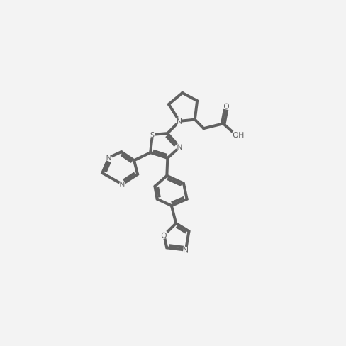 O=C(O)CC1CCCN1c1nc(-c2ccc(-c3cnco3)cc2)c(-c2cncnc2)s1